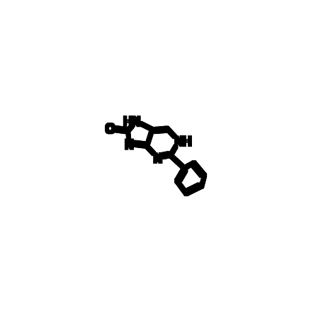 O=c1nc2nc(-c3ccccc3)[nH]cc-2[nH]1